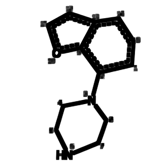 [c]1cc(N2CCNCC2)c2occc2c1